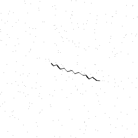 C=CC=CCCCCCCC=C/C=C/O